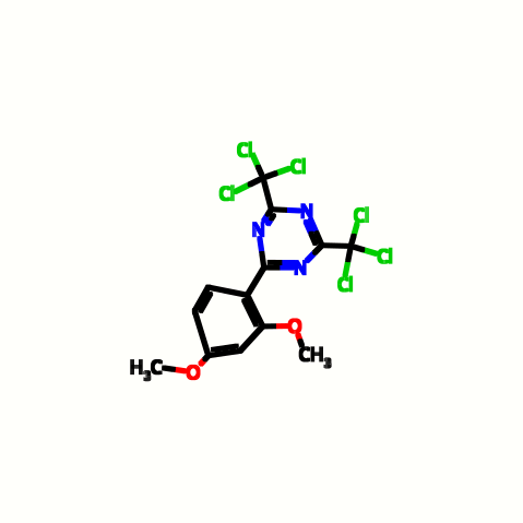 COc1ccc(-c2nc(C(Cl)(Cl)Cl)nc(C(Cl)(Cl)Cl)n2)c(OC)c1